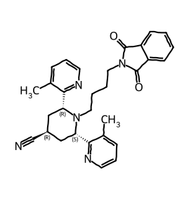 Cc1cccnc1[C@H]1C[C@H](C#N)C[C@@H](c2ncccc2C)N1CCCCN1C(=O)c2ccccc2C1=O